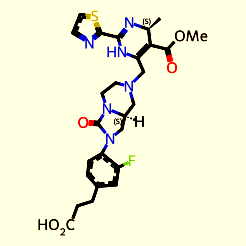 COC(=O)C1=C(CN2CCN3C(=O)N(c4ccc(CCC(=O)O)cc4F)C[C@@H]3C2)NC(c2nccs2)=N[C@H]1C